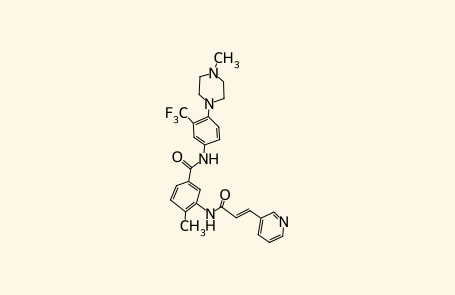 Cc1ccc(C(=O)Nc2ccc(N3CCN(C)CC3)c(C(F)(F)F)c2)cc1NC(=O)/C=C/c1cccnc1